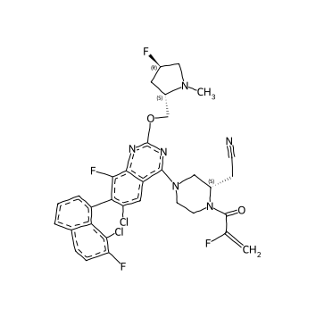 C=C(F)C(=O)N1CCN(c2nc(OC[C@@H]3C[C@@H](F)CN3C)nc3c(F)c(-c4cccc5ccc(F)c(Cl)c45)c(Cl)cc23)C[C@@H]1CC#N